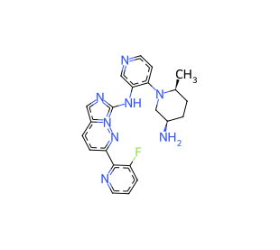 C[C@H]1CC[C@@H](N)CN1c1ccncc1Nc1ncc2ccc(-c3ncccc3F)nn12